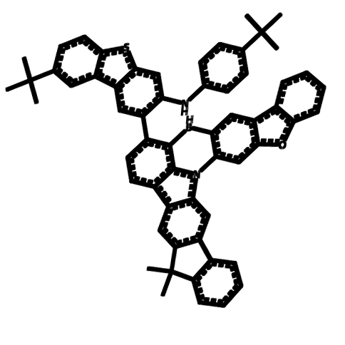 CC(C)(C)c1ccc(Nc2cc3sc4ccc(C(C)(C)C)cc4c3cc2-c2ccc3c4cc5c(cc4n4c3c2Bc2cc3c(cc2-4)oc2ccccc23)-c2ccccc2C5(C)C)cc1